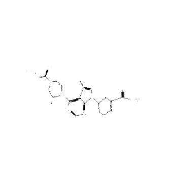 COC(=O)C1CCCC(n2cc(C(F)(F)F)c3c(N4C[C@@H](C)N(C(=O)OC(C)(C)C)C[C@@H]4C)ncnc32)C1